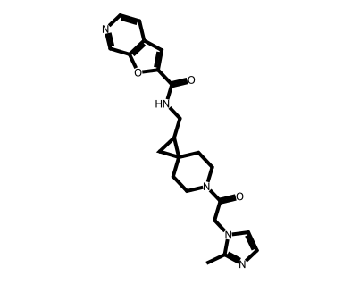 Cc1nccn1CC(=O)N1CCC2(CC1)CC2CNC(=O)c1cc2ccncc2o1